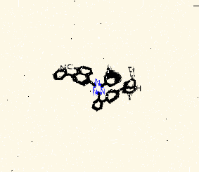 CC[C@H]1C[C@H]2C[C@@H](C)CC(c3ccc(-c4ccccc4-c4nc(-c5ccccc5)nc(-c5ccc(-c6ccccc6)c6c(C#N)cccc56)n4)cc3)(C2)C1